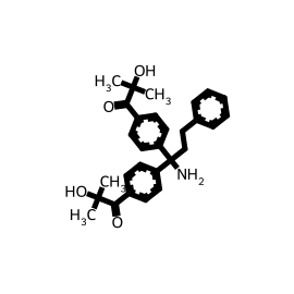 CC(C)(O)C(=O)c1ccc(C(N)(CCc2ccccc2)c2ccc(C(=O)C(C)(C)O)cc2)cc1